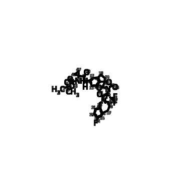 CC(C)(C)OC(=O)NC1(C(=O)Nc2ccc3c(c2)CCC32OC(=O)N(CC(=O)N3Cc4ccc(F)cc4CC[C@H]3C(F)(F)F)C2=O)CC1